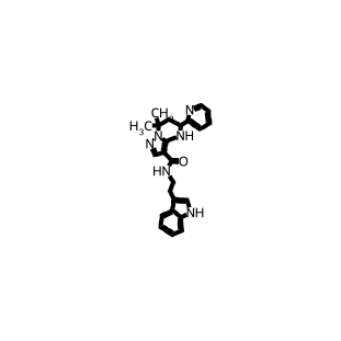 CC1(C)CC(c2ccccn2)Nc2c(C(=O)NCCc3c[nH]c4ccccc34)cnn21